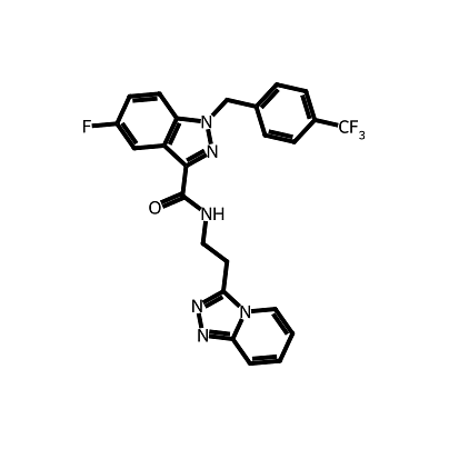 O=C(NCCc1nnc2ccccn12)c1nn(Cc2ccc(C(F)(F)F)cc2)c2ccc(F)cc12